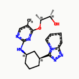 C[C@H](O)[C@@H](C)Oc1nc(N[C@@H]2CCC[C@H](c3nnc4ccccn34)C2)ncc1C(F)(F)F